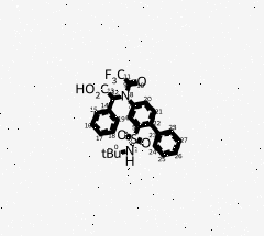 CC(C)(C)NS(=O)(=O)c1cc(N(C(=O)C(F)(F)F)C(C(=O)O)c2ccccc2)ccc1-c1ccccc1